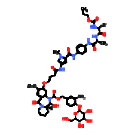 C=CCOC(=O)N[C@H](C(=O)N[C@@H](C)C(=O)Nc1ccc(NC(=O)c2cc(NC(=O)CCCOc3cc4c(cc3OC)C(=O)N3CCCC[C@H]3C(O)N4C(=O)OCc3ccc(O[C@@H]4O[C@H](CO)[C@@H](O)[C@H](O)[C@H]4O)c([N+](=O)[O-])c3)cn2C)cc1)C(C)C